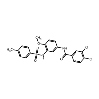 COc1ccc(NC(=O)c2ccc(Cl)c(Cl)c2)cc1NS(=O)(=O)c1ccc(C)cc1